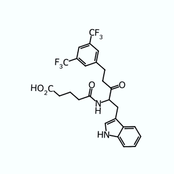 O=C(O)CCCC(=O)NC(Cc1c[nH]c2ccccc12)C(=O)CCc1cc(C(F)(F)F)cc(C(F)(F)F)c1